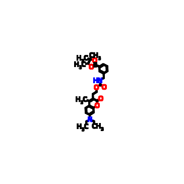 CCN(CC)c1ccc2c(C)c(CCOC(=O)NCc3cccc(B4OC(C)C(C)(C)O4)c3)c(=O)oc2c1